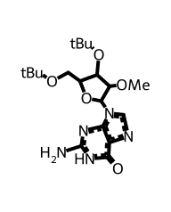 COC1C(OC(C)(C)C)C(COC(C)(C)C)OC1n1cnc2c(=O)[nH]c(N)nc21